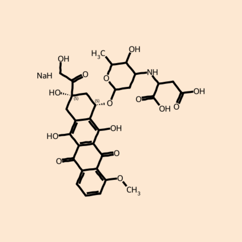 COc1cccc2c1C(=O)c1c(O)c3c(c(O)c1C2=O)C[C@@](O)(C(=O)CO)C[C@@H]3OC1CC(NC(CC(=O)O)C(=O)O)C(O)C(C)O1.[NaH]